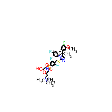 COc1cc(C(C)(C)c2cnc(SCc3c(F)cc(S(=O)(=O)N(CCCC[N+](C)(C)C)CC(=O)O)cc3F)n2-c2ccc(F)cc2)ccc1Cl